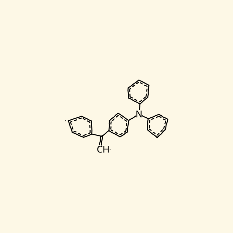 [CH]=C(c1cc[c]cc1)c1ccc(N(c2ccccc2)c2ccccc2)cc1